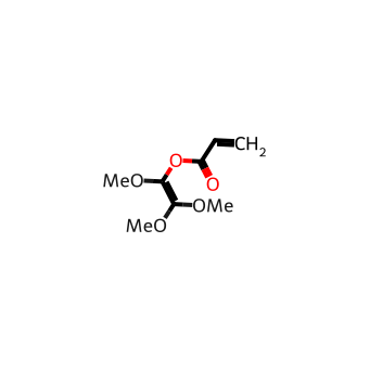 C=CC(=O)OC(OC)=C(OC)OC